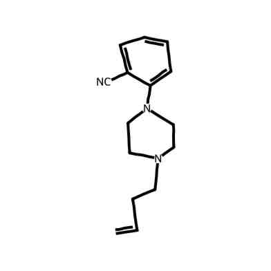 C=CCCN1CCN(c2ccccc2C#N)CC1